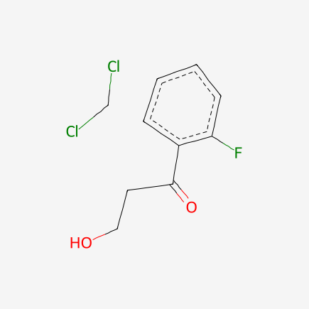 ClCCl.O=C(CCO)c1ccccc1F